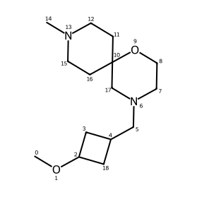 COC1CC(CN2CCOC3(CCN(C)CC3)C2)C1